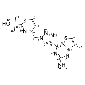 Cc1csc2c(-c3cn(Cc4cccc(C(C)(C)O)n4)nn3)nc(N)nc12